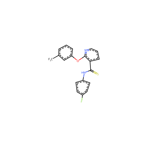 Fc1ccc(NC(=S)c2cccnc2Oc2cccc(C(F)(F)F)c2)cc1